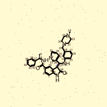 C[C@@H](NC(=O)c1ccc2c(c1)/C(=C(/Nc1cccc(CN3CCN(C)CC3)c1)c1cccnc1)C(=O)N2)c1ccccc1